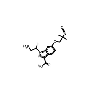 CC(C)(COc1ccc2c(C(=O)O)nn(C(F)CP)c2c1)N=O